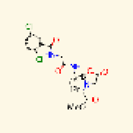 COC(=O)CN1CC(=O)OB1[C@H](CC(C)C)NC(=O)CNC(=O)c1cc(Cl)ccc1Cl